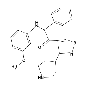 COc1cccc(NC(C(=O)c2csnc2C2CCNCC2)c2ccccc2)c1